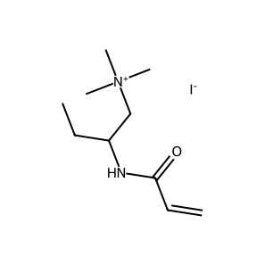 C=CC(=O)NC(CC)C[N+](C)(C)C.[I-]